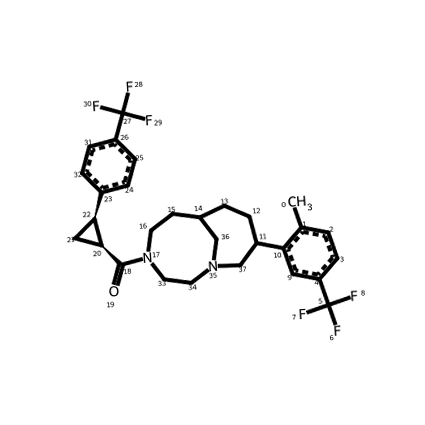 Cc1ccc(C(F)(F)F)cc1C1CCC2CCN(C(=O)[C@H]3C[C@H]3c3ccc(C(F)(F)F)cc3)CCN(C2)C1